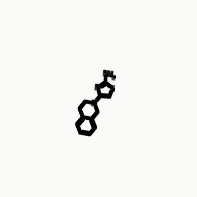 Nc1nc(N2CCc3ccccc3C2)cs1